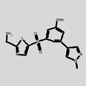 COc1cc(-c2cnn(C)c2)cc(S(=O)(=O)c2cnc(CN)s2)c1